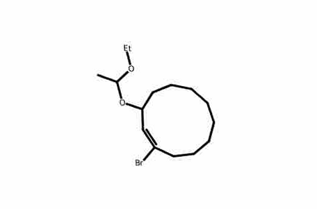 CCOC(C)OC1C=C(Br)CCCCCCCC1